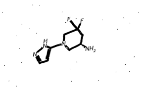 N[C@H]1CN(c2ccn[nH]2)CC(F)(F)C1